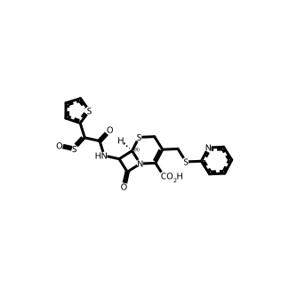 O=S=C(C(=O)NC1C(=O)N2C(C(=O)O)=C(CSc3ccccn3)CS[C@H]12)c1cccs1